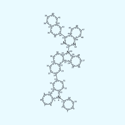 c1ccc(-n2c3ccccc3c3cc(-c4ccc5ccc6c(c5c4)c4ccccc4n6-c4nc(-c5ccc6ccccc6c5)c5ccccc5n4)ccc32)cc1